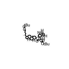 C[C@H](CCCOCOC(C)(C)C)C1CC[C@H]2C3CC[C@@H]4CC(OC(=O)[C@H](CC(=O)OC(C)(C)C)NC5=CC=C([N+](=O)[O-])C6NONC56)CCC4(C)C3CC[C@]12C